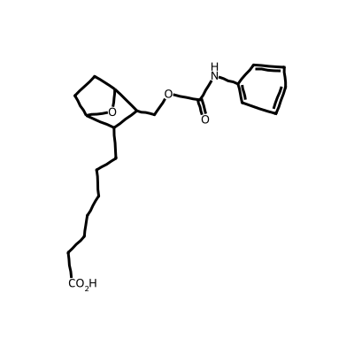 O=C(O)CCCCCCC1C2CCC(O2)C1COC(=O)Nc1ccccc1